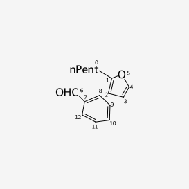 CCCCCc1ccco1.O=Cc1ccccc1